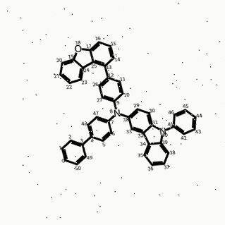 c1ccc(-c2ccc(N(c3ccc(-c4cccc5oc6ccccc6c45)cc3)c3ccc4c(c3)c3ccccc3n4-c3ccccc3)cc2)cc1